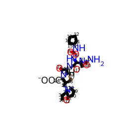 Nc1nc(C(=NOC(=O)Nc2ccccc2)C(=O)NC2C(=O)N3C(C(=O)[O-])=C(C[n+]4cccc5occc54)CS[C@@H]23)co1